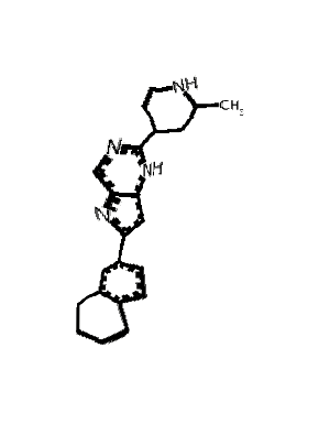 CC1CC(c2ncc3nc(-c4ccc5c(c4)CCCC5)cc-3[nH]2)CCN1